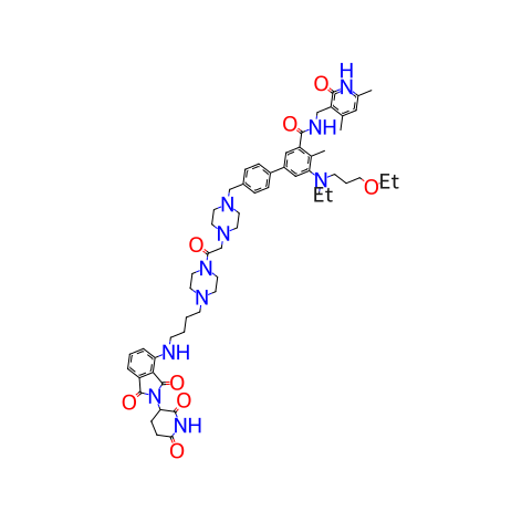 CCOCCCN(CC)c1cc(-c2ccc(CN3CCN(CC(=O)N4CCN(CCCCNc5cccc6c5C(=O)N(C5CCC(=O)NC5=O)C6=O)CC4)CC3)cc2)cc(C(=O)NCc2c(C)cc(C)[nH]c2=O)c1C